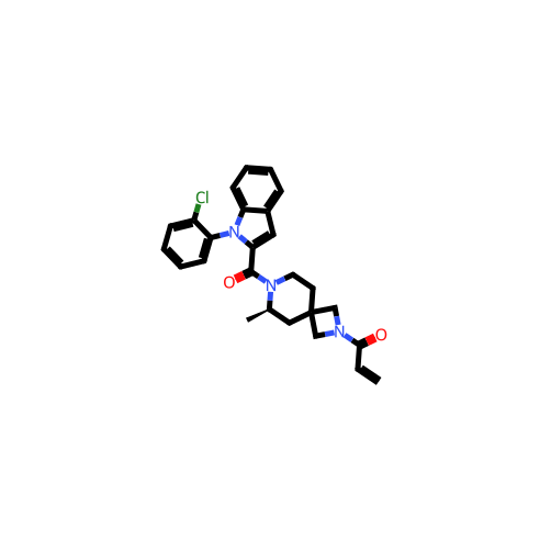 C=CC(=O)N1CC2(CCN(C(=O)c3cc4ccccc4n3-c3ccccc3Cl)[C@H](C)C2)C1